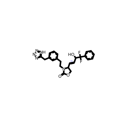 O=C1OCC(/C=C/C(O)C(F)(F)c2ccccc2)N1CCc1cccc(Cc2nnn[nH]2)c1